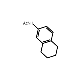 CC(=O)Nc1ccc2c(c1)C[C]CC2